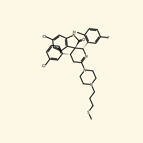 CSCCCN1CCN(C2=N[C@@H](c3cc(F)ccc3C)[C@]3(C(=O)Nc4cc(Cl)ccc43)[C@@H](c3cccc(Cl)c3)C2)CC1